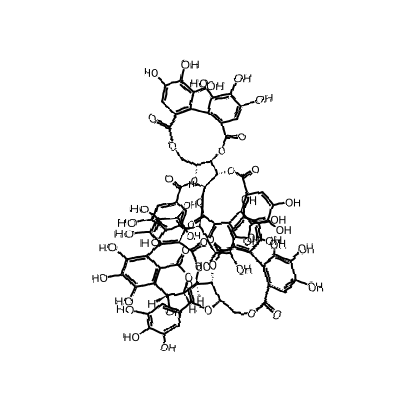 O=C(O[C@@H]1COC(=O)c2cc(O)c(O)c(O)c2-c2c(cc(O)c(O)c2O)C(=O)O[C@H]1[C@@H]1OC(=O)c2c(c(O)c(O)c(O)c2[C@@H]2c3c(O)c(O)c(O)c4c3C(=O)O[C@@H]2[C@H]([C@@H]2OC(=O)c3cc(O)c(O)c(O)c3-c3c(cc(O)c(O)c3O)C(=O)OC[C@H]2OC(=O)c2cc(O)c(O)c(O)c2)OC(=O)c2cc(O)c(O)c(O)c2-4)-c2c(O)c(O)c(O)c3c2C(=O)O[C@H]1[C@@H]3O)c1cc(O)c(O)c(O)c1